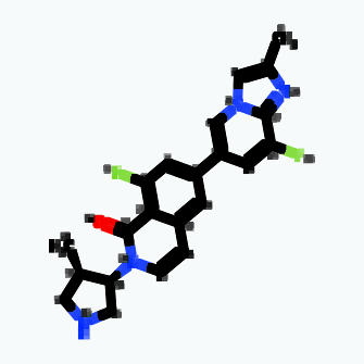 Cc1cn2cc(-c3cc(F)c4c(=O)n([C@H]5CNC[C@H]5C)ccc4c3)cc(F)c2n1